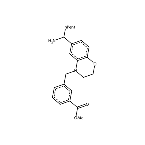 CCCCCC(N)c1ccc2c(c1)N(Cc1cccc(C(=O)OC)c1)CCO2